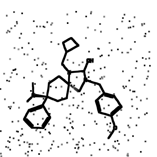 COc1ccc(CN2C[C@]3(CC[C@](c4ccccc4)(N(C)C)CC3)N(CC3CCC3)C2O)cc1